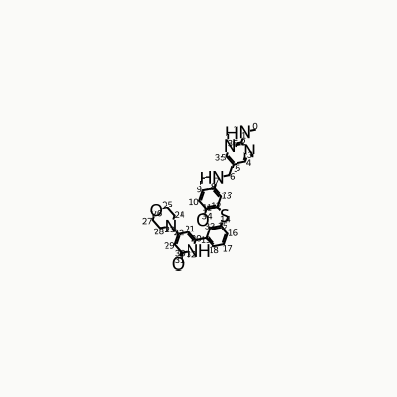 CNc1ncc(CNc2ccc3c(c2)Sc2cccc(-c4cc(N5CCOCC5)cc(=O)[nH]4)c2O3)cn1